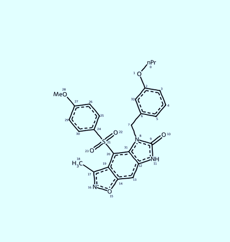 CCCOc1cccc(Cn2c(=O)[nH]c3cc4onc(C)c4c(S(=O)(=O)c4ccc(OC)cc4)c32)c1